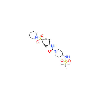 CC(C)(C)S(=O)(=O)NC1CCN(C(=O)Nc2ccc(S(=O)(=O)N3CCCCC3)cc2)CC1